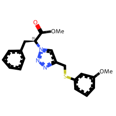 COC(=O)[C@H](Cc1ccccc1)n1cc(CSc2cccc(OC)c2)nn1